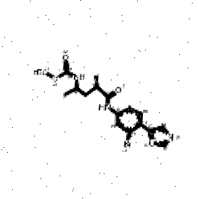 CC(CC(C)C(=O)Nc1ccc(-c2cnco2)c(Br)c1)NC(=O)OC(C)(C)C